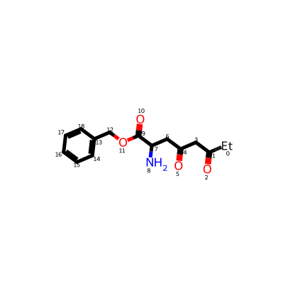 CCC(=O)CC(=O)CC(N)C(=O)OCc1ccccc1